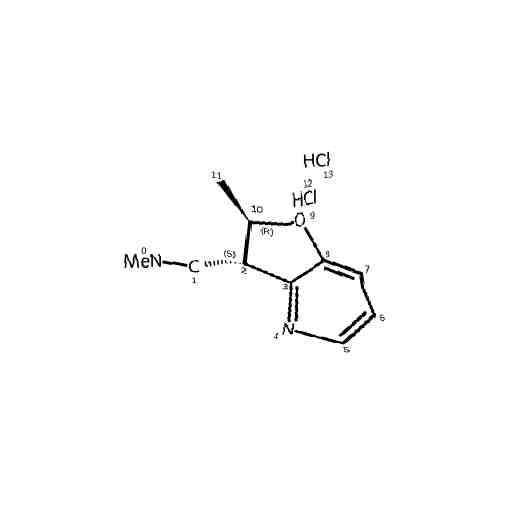 CNC[C@H]1c2ncccc2O[C@@H]1C.Cl.Cl